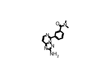 CN(C)C(=O)c1cccc(-c2nccc3nc(N)nn23)c1